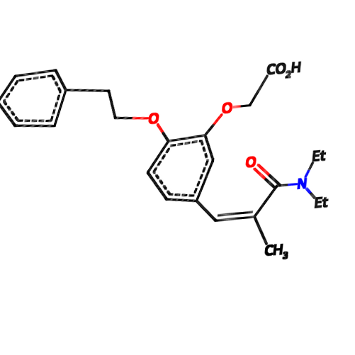 CCN(CC)C(=O)/C(C)=C\c1ccc(OCCc2ccccc2)c(OCC(=O)O)c1